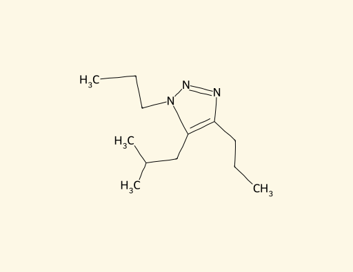 CCCc1nnn(CCC)c1CC(C)C